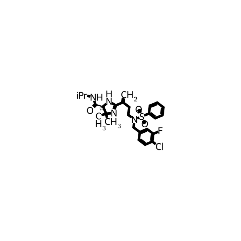 C=C(CCN(Cc1ccc(Cl)c(F)c1)S(=O)(=O)c1ccccc1)C1=NC(C)(C)[C@@H](C(=O)NC(C)C)N1